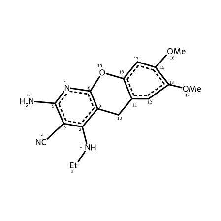 CCNc1c(C#N)c(N)nc2c1Cc1cc(OC)c(OC)cc1O2